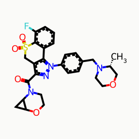 C[C@@H]1COCCN1Cc1ccc(-n2nc(C(=O)N3CCOC4CC43)c3c2-c2cccc(F)c2S(=O)(=O)C3)cc1